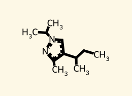 CCC(C)c1cn(C(C)C)nc1C